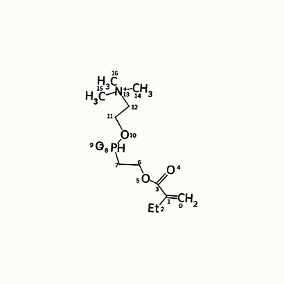 C=C(CC)C(=O)OCC[PH](=O)OCC[N+](C)(C)C